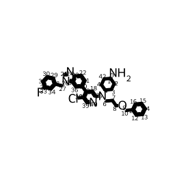 NC1CCC(N(CCCOCc2ccccc2)c2cc(-c3ccc4ncn(Cc5cccc(F)c5)c4c3)c(Cl)cn2)CC1